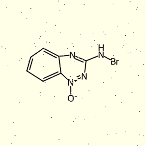 [O-][n+]1nc(NBr)nc2ccccc21